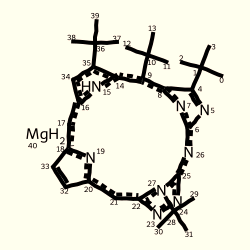 CC(C)(C)C1=Nc2nc1c(C(C)(C)C)c1[nH]c(cc3nc(cc4nnc(n2)n4C(C)(C)C)C=C3)cc1C(C)(C)C.[MgH2]